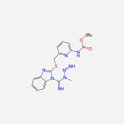 CN(N=N)C(=N)n1c(SCc2cccc(NC(=O)OC(C)(C)C)n2)nc2ccccc21